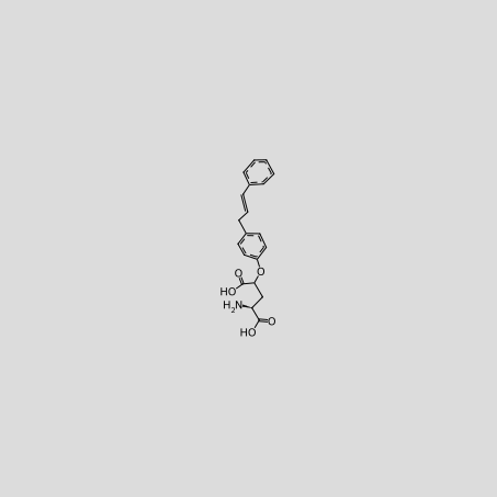 N[C@@H](CC(Oc1ccc(CC=Cc2ccccc2)cc1)C(=O)O)C(=O)O